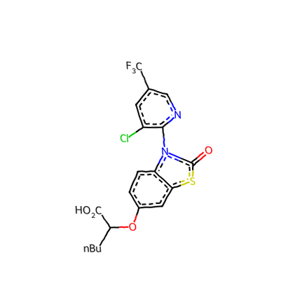 CCCCC(Oc1ccc2c(c1)sc(=O)n2-c1ncc(C(F)(F)F)cc1Cl)C(=O)O